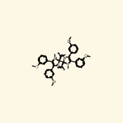 COc1cccc(C2=C(c3cccc(OC)c3)N(C)C(C(C)C)(C3(C(C)C)N(C)C(c4cccc(OC)c4)=C(c4cccc(OC)c4)N3C)N2C)c1